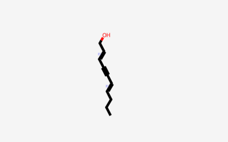 CCC/C=C/C#C/C=C/CO